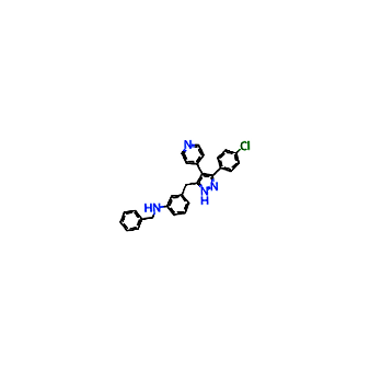 Clc1ccc(-c2n[nH]c(Cc3cccc(NCc4ccccc4)c3)c2-c2ccncc2)cc1